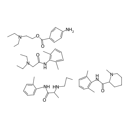 CCCNC(C)C(=O)Nc1ccccc1C.CCN(CC)CC(=O)Nc1c(C)cccc1C.CCN(CC)CCOC(=O)c1ccc(N)cc1.Cc1cccc(C)c1NC(=O)C1CCCCN1C